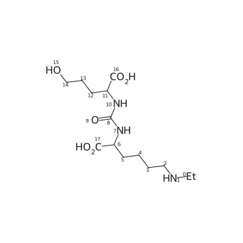 CCNCCCCC(NC(=O)NC(CCCO)C(=O)O)C(=O)O